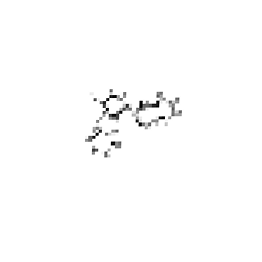 Cc1ccc(-c2ncc3ccccc3n2)nc1CC1CCCCC1